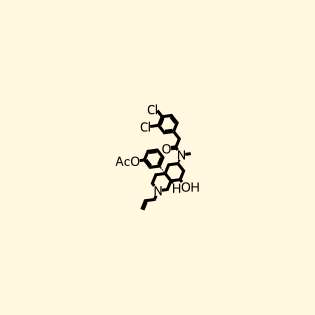 C=CCN1CC[C@@]2(c3cccc(OC(C)=O)c3)C[C@@H](N(C)C(=O)Cc3ccc(Cl)c(Cl)c3)CC(O)[C@@H]2C1